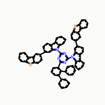 c1ccc(-c2cccc(-c3nc(-n4c5ccccc5c5ccc(-c6ccc7sc8ccccc8c7c6)cc54)nc(-n4c5ccccc5c5ccc(-c6ccc7sc8ccccc8c7c6)cc54)n3)c2-c2ccccc2)cc1